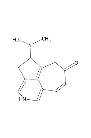 CN(C)C1CC2=CNC=C3C=CC(=O)CC1=C32